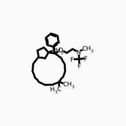 CN(CCOC1(c2ccccc2)CCCCC(C)(C)CCCCCCC2CCC1(C)C2)C(F)(F)F